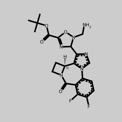 CC(C)(C)OC(=O)C1=NC(c2ncn3c2[C@@H]2CCN2C(=O)c2c-3ccc(F)c2F)N(CN)O1